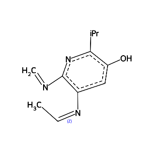 C=Nc1nc(C(C)C)c(O)cc1/N=C\C